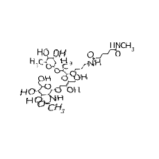 CNC(=O)CCCCC(=O)NCCCO[C@H](OC(CO)[C@H](O)CO[C@H]1OC(CO)[C@H](O)[C@H](O)C1NC(C)=O)[C@H](C)O[C@H]1C[C@@H](O)[C@H](O)C(C)O1